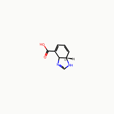 O=C(O)C1=CC=C[C@@H]2NC=NC12